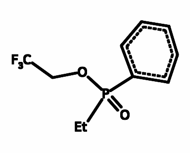 CCP(=O)(OCC(F)(F)F)c1ccccc1